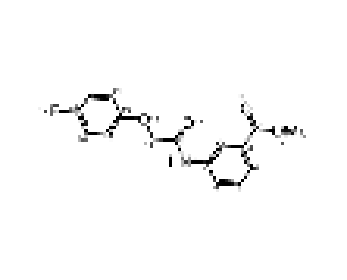 COC(=O)c1cccc(NC(=O)COc2ccc(F)cc2)c1